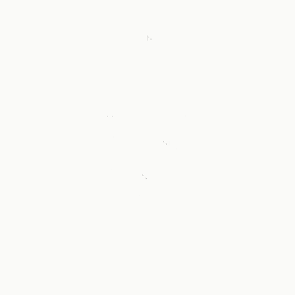 N#Cc1ccc(C(N)C2=C(Nc3cccc(CF)c3)CCC2=O)c(Br)c1